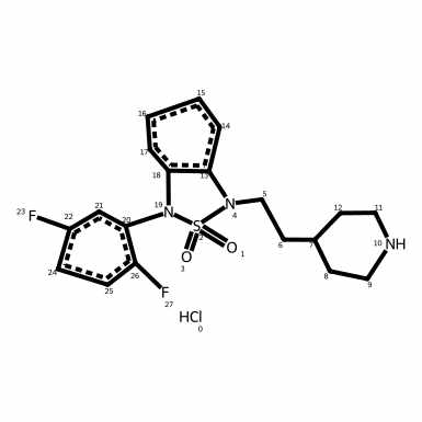 Cl.O=S1(=O)N(CCC2CCNCC2)c2ccccc2N1c1cc(F)ccc1F